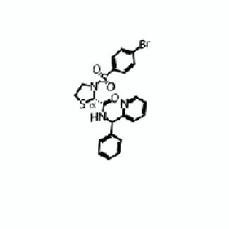 O=C(NC(c1ccccc1)c1ccccn1)[C@@H]1SCCN1S(=O)(=O)c1ccc(Br)cc1